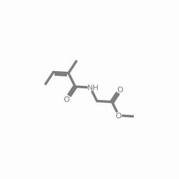 CC=C(C)C(=O)NCC(=O)OC